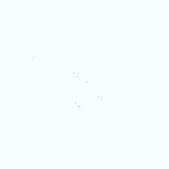 CC(=N)/C(NC(=O)COC(C)=O)=C(/C)Nc1ccccc1